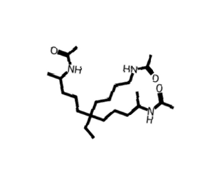 CCC(CCCCNC(C)=O)(CCCC(C)NC(C)=O)CCCC(C)NC(C)=O